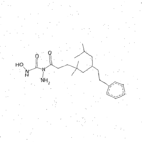 CC(C)CC(CCc1ccccc1)CC(C)(C)CCC(=O)N(N)C(=O)NO